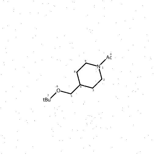 CC(=O)N1CCC(COC(C)(C)C)CC1